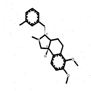 COc1ccc2c(c1OC)CCC1[C@@H](Cc3cccc(C)c3)N(C)C[C@@H]21